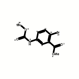 COC(=O)c1cc(NC(=O)OC(C)(C)C)ccc1Br